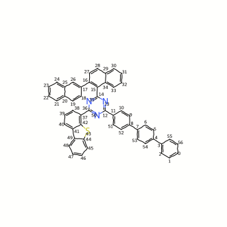 c1ccc(-c2ccc(-c3ccc(-c4nc(-c5c(-c6ccc7ccccc7c6)ccc6ccccc56)nc(-c5cccc6c5sc5ccccc56)n4)cc3)cc2)cc1